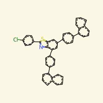 Clc1ccc(-c2nc3c(-c4ccc(-c5cccc6ccccc56)cc4)cc(-c4ccc(-c5cccc6ccccc56)cc4)cc3s2)cc1